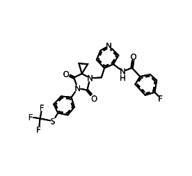 O=C(Nc1cnccc1CN1C(=O)N(c2ccc(SC(F)(F)F)cc2)C(=O)C12CC2)c1ccc(F)cc1